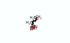 CCO[Si](CCC(C)CCC1OC1(C)C)(OCC)OCC